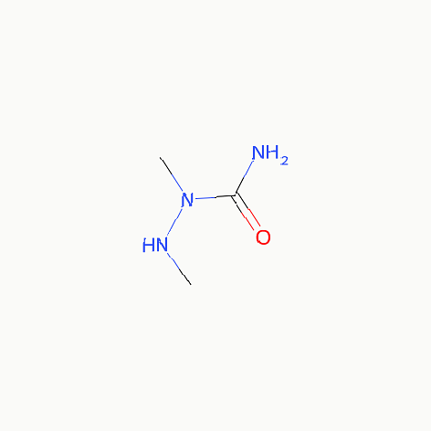 CNN(C)C(N)=O